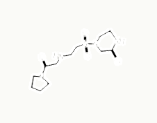 O=C1CN(S(=O)(=O)CCNCC(=O)N2CCCC2)CCN1